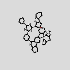 c1ccc(-c2nc(-c3cccc(-c4nc5ccccc5c5cc6c(cc45)-c4ccccc4C64c5ccccc5Sc5ccccc54)c3)nc(-c3cccc4c3sc3ccccc34)n2)cc1